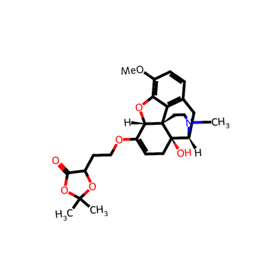 COc1ccc2c3c1O[C@H]1C(OCCC4OC(C)(C)OC4=O)=CC[C@@]4(O)[C@@H](C2)N(C)CC[C@]314